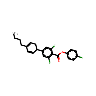 CCCCC1=CCC(c2cc(F)c(C(=O)Oc3ccc(F)cc3)c(F)c2)C=C1